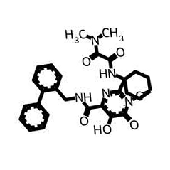 CN(C)C(=O)C(=O)NC12CCC(CC1)Cn1c2nc(C(=O)NCc2ccccc2-c2ccccc2)c(O)c1=O